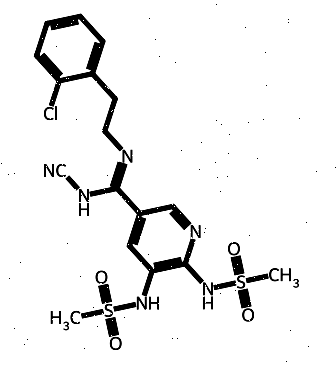 CS(=O)(=O)Nc1cc(C(=NCCc2ccccc2Cl)NC#N)cnc1NS(C)(=O)=O